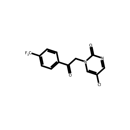 O=C(Cn1cc(Cl)cnc1=O)c1ccc(C(F)(F)F)cc1